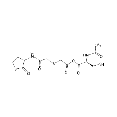 CC(=O)N[C@@H](CS)C(=O)OC(=O)CSCC(=O)NC1CCSC1=O